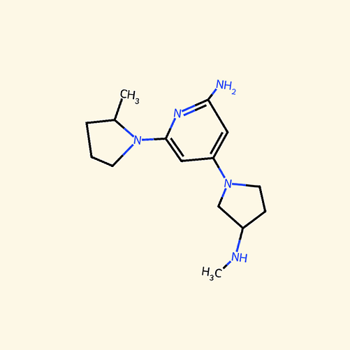 CNC1CCN(c2cc(N)nc(N3CCCC3C)c2)C1